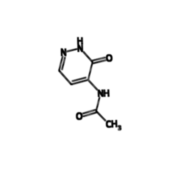 CC(=O)Nc1ccn[nH]c1=O